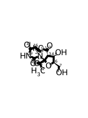 CC(=O)[C@@H]1[C@H](O)[C@@H](CO)O[C@@]1(C(C)=O)n1ccc(=O)[nH]c1=O